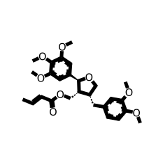 C/C=C/C(=O)OC[C@H]1[C@@H](Cc2ccc(OC)c(OC)c2)CO[C@@H]1c1cc(OC)c(OC)c(OC)c1